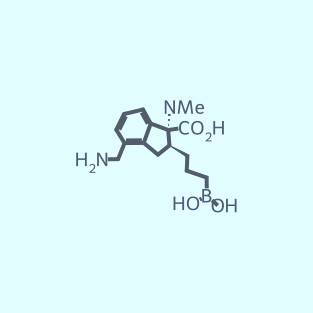 CN[C@@]1(C(=O)O)c2cccc(CN)c2C[C@@H]1CCCB(O)O